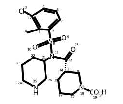 Cc1c(Cl)cccc1S(=O)(=O)N(C(=O)[C@H]1CCCN(C(=O)O)C1)C1CCCNC1